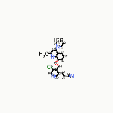 C=CN(/C=C\C)c1cc(C)nc2c(OCc3c(Cl)cncc3/C=C/C#N)cccc12